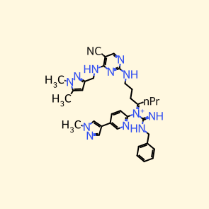 CCC/C(CCCNc1ncc(C#N)c(NCc2cc(C)n(C)n2)n1)=[N+](\C(=N)NCc1ccccc1)c1ccc(-c2cnn(C)c2)cn1